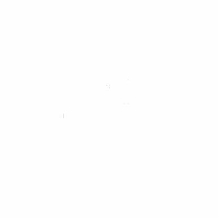 CC(C)(C)OC(=O)NC1CC(O)(C[C]=O)C1